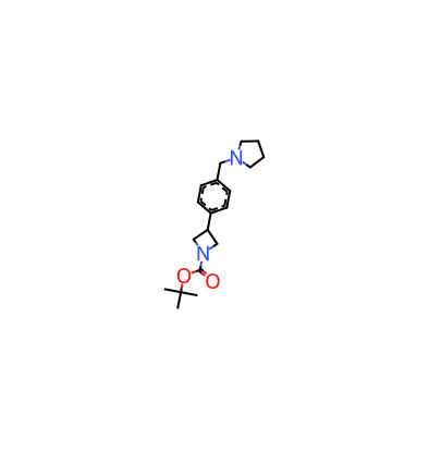 CC(C)(C)OC(=O)N1CC(c2ccc(CN3CCCC3)cc2)C1